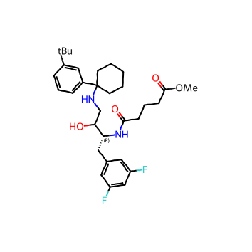 COC(=O)CCCC(=O)N[C@H](Cc1cc(F)cc(F)c1)C(O)CNC1(c2cccc(C(C)(C)C)c2)CCCCC1